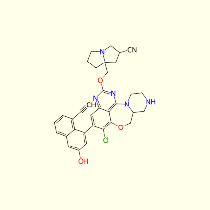 C#Cc1cccc2cc(O)cc(-c3cc4nc(OCC56CCCN5CC(C#N)C6)nc5c4c(c3Cl)OCC3CNCCN53)c12